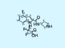 O=C(N[C@@H]1CCNC1)c1cc2c(F)cccc2[nH]1.O=C(O)C(F)(F)F